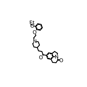 CCOc1ccccc1OCCN1CCC(CCC(=O)c2cc3c4c(c2)CCN4C(=O)CC3)CC1